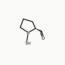 O=C[C@@H]1CCCN1S